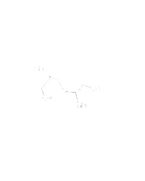 CC=C(CCC)SSC(=CC)CCC